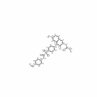 COC(=O)Cc1cc2ccc(F)cc2c(-c2ccc(S(=O)(=O)NCc3ccc(OC)cc3)cc2)c1C